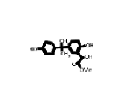 COC(=O)C(O)c1cc(C(C)(C)c2ccc(O)cc2)ccc1O